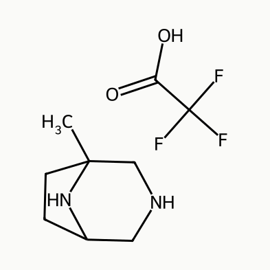 CC12CCC(CNC1)N2.O=C(O)C(F)(F)F